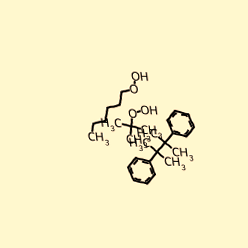 CC(C)(C)OO.CC(C)(c1ccccc1)C(C)(C)c1ccccc1.CCCCCCOO